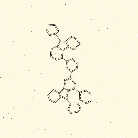 c1ccc(-c2nc(-c3cccc(-c4cccc5c4c4ccccc4n5-c4ccccc4)c3)nc3c4ccccc4n(-c4ccccc4)c23)cc1